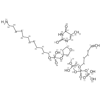 C#CCCCCOP(=O)(OP(=O)(O)O)OP(=O)(O)OC[C@H]1O[C@@H](n2cc(C)c(=O)[nH]c2=O)C[C@@H]1OP(=O)(O)OCCCCCCCCCCCCN